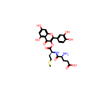 CSCC[C@H](NC(=O)[C@@H](N)CCC(=O)O)C(=O)Oc1c(-c2ccc(O)c(O)c2)oc2cc(O)cc(O)c2c1=O